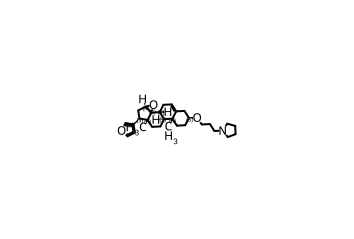 C[C@]12CC[C@H](OCCCN3CCCC3)CC1=CC[C@@H]1[C@@H]2CC[C@]2(C)[C@@H](c3ccoc3)C[C@H]3O[C@]132